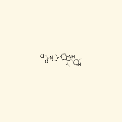 Cc1cc(-c2[nH]c3ccc(C4CCN(C(=O)CCl)CC4)cc3c2C(C)C)cc(C)n1